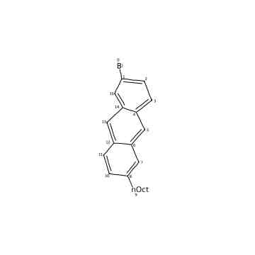 [B]c1ccc2cc3cc(CCCCCCCC)ccc3cc2c1